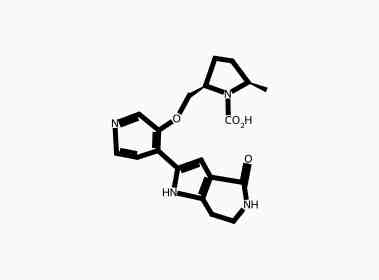 C[C@@H]1CC[C@H](COc2cnccc2-c2cc3c([nH]2)CCNC3=O)N1C(=O)O